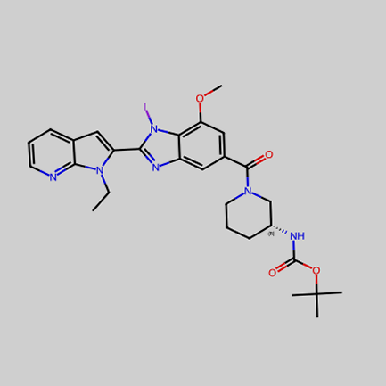 CCn1c(-c2nc3cc(C(=O)N4CCC[C@@H](NC(=O)OC(C)(C)C)C4)cc(OC)c3n2I)cc2cccnc21